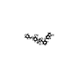 N#Cc1cc(S(=O)(=O)NC(=O)c2ccccc2Oc2cnc3[nH]ccc3c2)cnc1OCC1CCOCC1